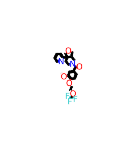 COc1cc(C(=O)N2CCC3(c4ccccn4)COCC3C2)ccc1OCCOC(F)(F)F